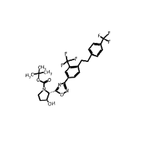 CC(C)(C)OC(=O)N1CC[C@H](O)[C@H]1c1nc(-c2ccc(CCc3ccc(C(F)(F)F)cc3)c(C(F)(F)F)c2)no1